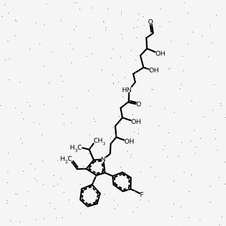 C=Cc1c(-c2ccccc2)c(-c2ccc(F)cc2)n(CCC(O)CC(O)CC(=O)NCCC(O)CC(O)CC=O)c1C(C)C